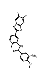 COc1ccc(C(=O)Nc2cc(-c3nc4cc(C)c(C)cc4o3)ccc2C)cc1N